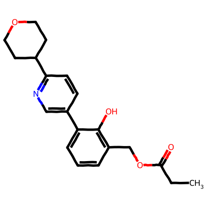 CCC(=O)OCc1cccc(-c2ccc(C3CCOCC3)nc2)c1O